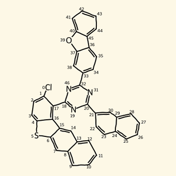 Clc1ccc2sc3cc4ccccc4cc3c2c1-c1nc(-c2ccc3ccccc3c2)nc(-c2ccc3c(c2)oc2ccccc23)n1